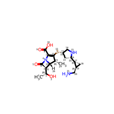 C[C@@H](O)[C@H]1C(=O)N2C(C(=O)O)=C(S[C@@H]3CN[C@H]([C@@H]4C[C@H]4CN)C3)[C@H](C)[C@H]12